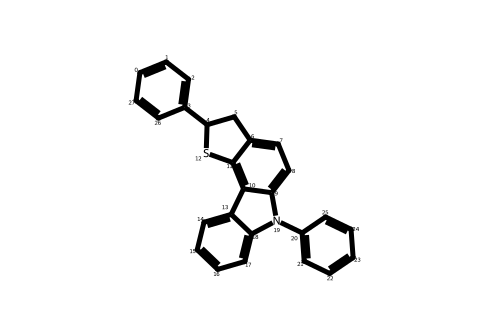 c1ccc(C2Cc3ccc4c(c3S2)c2ccccc2n4-c2ccccc2)cc1